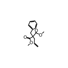 C=CCC(Cc1ccccc1)(C(=O)OC)C(=O)OC